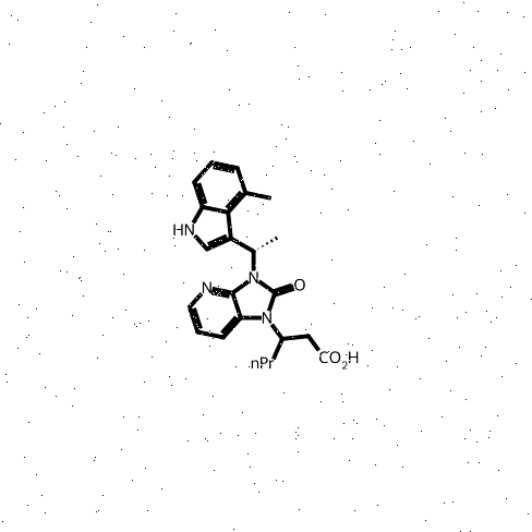 CCCC(CC(=O)O)n1c(=O)n([C@@H](C)c2c[nH]c3cccc(C)c23)c2ncccc21